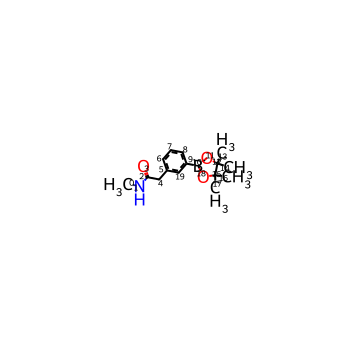 CNC(=O)Cc1cccc(B2OC(C)(C)C(C)(C)O2)c1